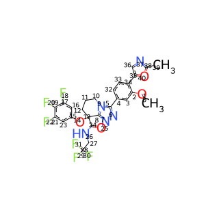 COc1cc(-c2nnc3n2CCCC3(Oc2cc(F)c(F)c(F)c2)C(=O)NCC(F)(F)F)ccc1-c1cnc(C)o1